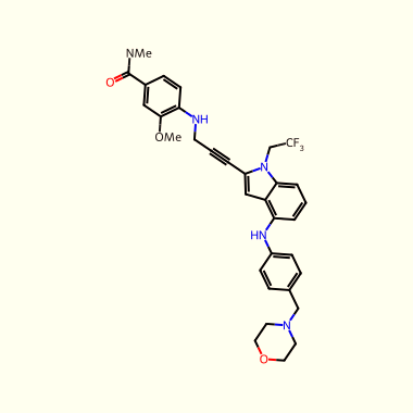 CNC(=O)c1ccc(NCC#Cc2cc3c(Nc4ccc(CN5CCOCC5)cc4)cccc3n2CC(F)(F)F)c(OC)c1